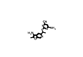 Cc1oc2cnc(C(C)Sc3nc(N)cc(C#N)n3)cc2c1N